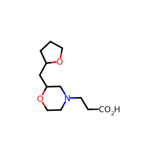 O=C(O)CCN1CCOC(CC2CCCO2)C1